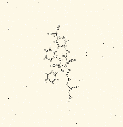 COCC(=O)CSC=NC(C(=O)OCc1ccc([N+](=O)[O-])cc1)P(=O)(Oc1ccccc1)Oc1ccccc1